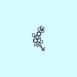 CN(C)CCNC(=O)c1cccn2c(=O)c3cc4c(cc3nc12)OC(F)(F)O4